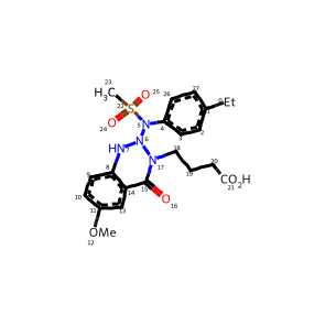 CCc1ccc(N(N2Nc3ccc(OC)cc3C(=O)N2CCCC(=O)O)S(C)(=O)=O)cc1